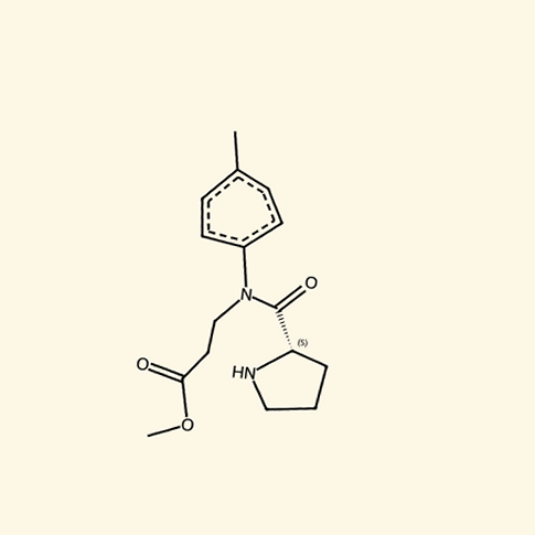 COC(=O)CCN(C(=O)[C@@H]1CCCN1)c1ccc(C)cc1